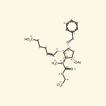 CC(=O)O[C@H]1C[C@@H](OCc2ccccc2)[C@@H](C/C=C\CCCC(=O)O)[C@@H]1N(C)C(=O)OCC(Cl)(Cl)Cl